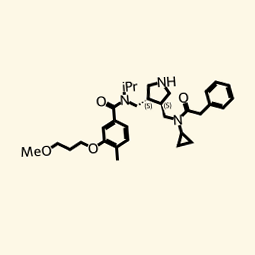 COCCCOc1cc(C(=O)N(C[C@@H]2CNC[C@H]2CN(C(=O)Cc2ccccc2)C2CC2)C(C)C)ccc1C